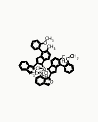 COc1ccccc1-c1c(C)ccc2c1C=C(c1occ3ccccc13)[CH]2[Zr]([Cl])([Cl])([CH]1C(c2occ3ccccc23)=Cc2c1ccc(C)c2-c1ccccc1OC)=[Si](C)C